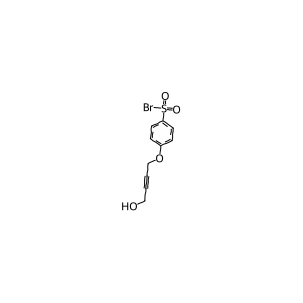 O=S(=O)(Br)c1ccc(OCC#CCO)cc1